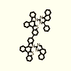 c1ccc(-c2nc(-n3c4ccccc4c4c5ccccc5c5c6cc(-c7ccc8c9c%10ccccc%10c%10c%11ccccc%11sc%10c9n(-c9ncc%10ccc%11ccccc%11c%10n9)c8c7)ccc6sc5c43)nc3c2ccc2ccccc23)cc1